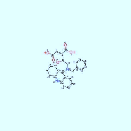 O=C(O)/C=C/C(=O)O.c1ccc(CN2CCOC3CCCc4nc5ccccc5c2c43)cc1